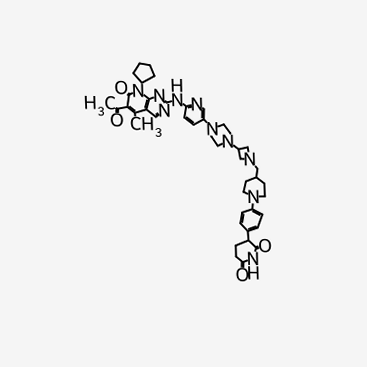 CC(=O)c1c(C)c2cnc(Nc3ccc(N4CCN(C5CN(CC6CCN(c7ccc(C8CCC(=O)NC8=O)cc7)CC6)C5)CC4)cn3)nc2n(C2CCCC2)c1=O